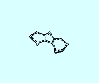 c1cc2c(cn1)sc1ccoc12